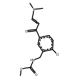 COC(=O)NCc1cc(C(=O)/C=C/N(C)C)ccc1Cl